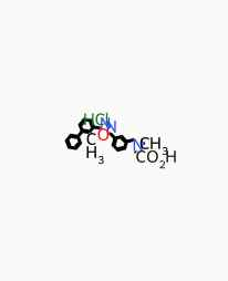 Cc1c(-c2ccccc2)cccc1-c1nnc(-c2cccc(CN(C)CC(=O)O)c2)o1.Cl